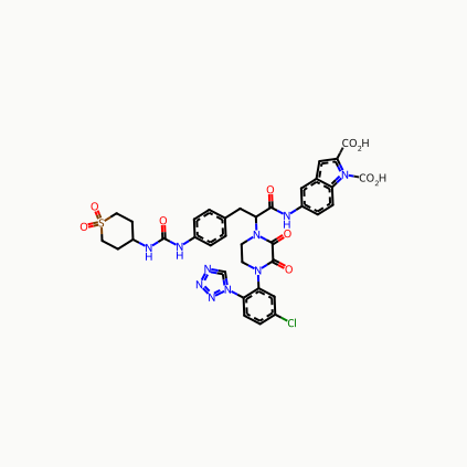 O=C(Nc1ccc(CC(C(=O)Nc2ccc3c(c2)cc(C(=O)O)n3C(=O)O)N2CCN(c3cc(Cl)ccc3-n3cnnn3)C(=O)C2=O)cc1)NC1CCS(=O)(=O)CC1